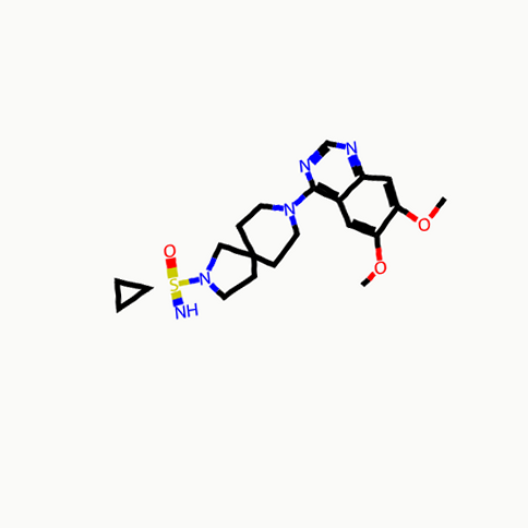 COc1cc2ncnc(N3CCC4(CC3)CCN([S@](=N)(=O)C3CC3)C4)c2cc1OC